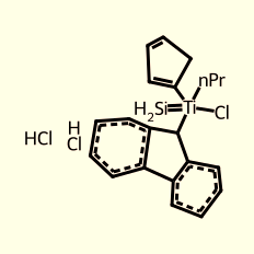 CC[CH2][Ti](=[SiH2])([Cl])([C]1=CC=CC1)[CH]1c2ccccc2-c2ccccc21.Cl.Cl